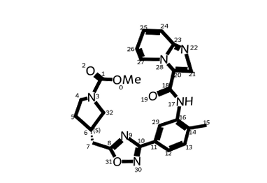 COC(=O)N1CC[C@@H](Cc2nc(-c3ccc(C)c(NC(=O)c4cnc5ccccn45)c3)no2)C1